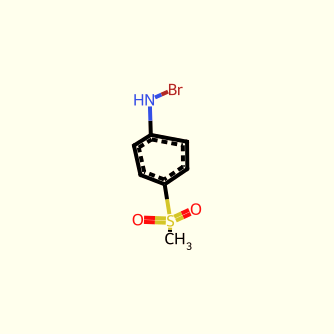 CS(=O)(=O)c1ccc(NBr)cc1